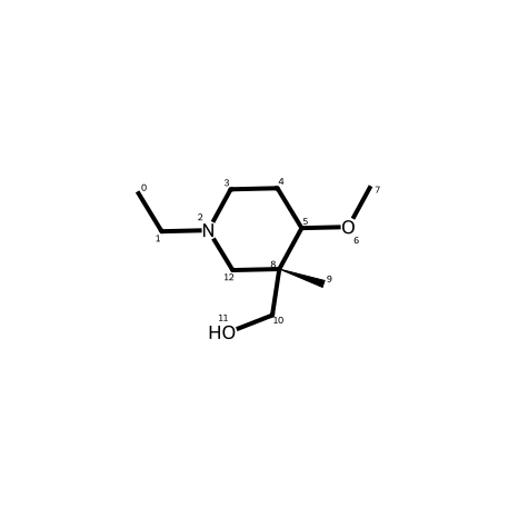 CCN1CCC(OC)[C@](C)(CO)C1